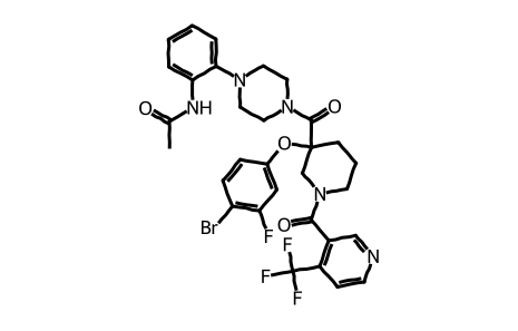 CC(=O)Nc1ccccc1N1CCN(C(=O)C2(Oc3ccc(Br)c(F)c3)CCCN(C(=O)c3cnccc3C(F)(F)F)C2)CC1